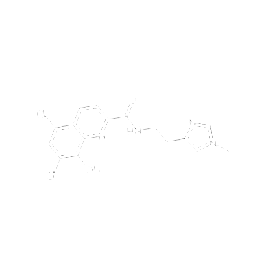 Cn1cnc(CCNC(=O)c2ccc3c(Cl)cc(Cl)c(O)c3n2)c1